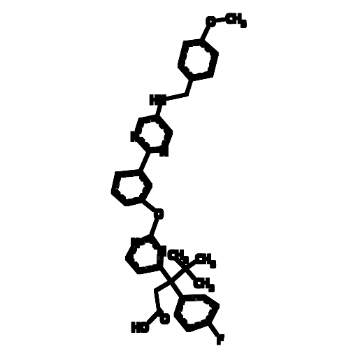 COc1ccc(CNc2cnc(-c3cccc(Oc4nccc(C(CC(=O)O)(c5ccc(F)cc5)C(C)(C)C)n4)c3)nc2)cc1